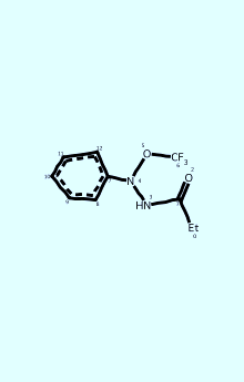 CCC(=O)NN(OC(F)(F)F)c1ccccc1